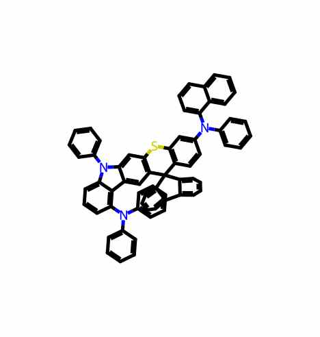 c1ccc(N(c2ccc3c(c2)Sc2cc4c(cc2C32c3ccccc3-c3ccccc32)c2c(N(c3ccccc3)c3ccccc3)cccc2n4-c2ccccc2)c2cccc3ccccc23)cc1